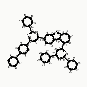 c1ccc(-c2ccc(-c3cc(-c4ccc5c(c4)sc4cccc(-c6cc(-c7ccccc7)nc(-c7ccccc7)n6)c45)nc(-c4ccccc4)n3)cc2)cc1